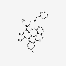 CCn1c(COCc2ccccc2)nn(-c2c(C(C)C)c3ccc(F)cc3c(=O)n2-c2c(F)cccc2Cl)c1=O